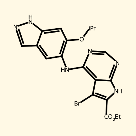 CCOC(=O)c1[nH]c2ncnc(Nc3cc4cn[nH]c4cc3OC(C)C)c2c1Br